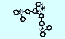 O=S1(=O)c2ncccc2-c2cc(-c3ccc(-c4nc5ccccc5n4-c4ccccc4)cc3)cc3c4cc(-c5ccc(-c6nc7ccccc7n6-c6ccccc6)cc5)ccc4n1c23